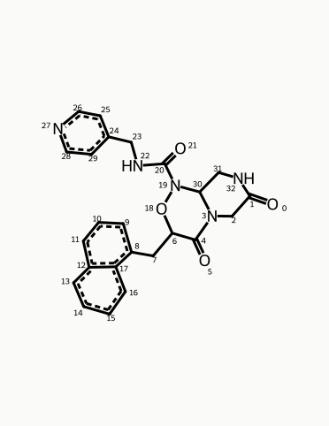 O=C1CN2C(=O)C(Cc3cccc4ccccc34)ON(C(=O)NCc3ccncc3)C2CN1